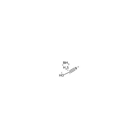 N#CO.S.[BiH3]